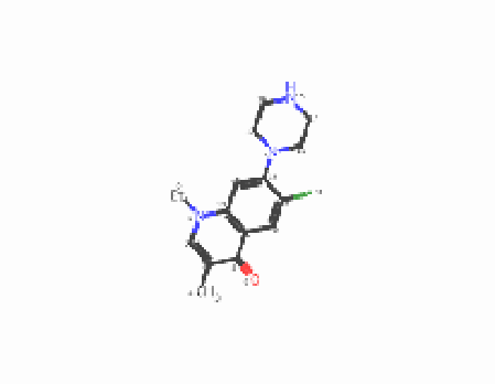 CCn1cc(C)c(=O)c2cc(F)c(N3CCNCC3)cc21